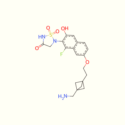 NCC12CC(CCOc3ccc4cc(O)c(N5CC(=O)NS5(=O)=O)c(F)c4c3)(C1)C2